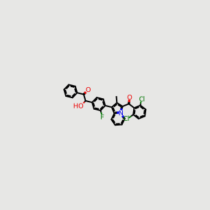 Cc1c(-c2ccc(C(O)C(=O)c3ccccc3)cc2F)c2ccccn2c1C(=O)c1c(Cl)cccc1Cl